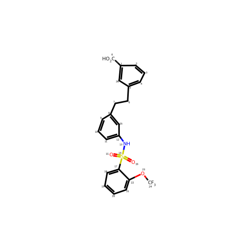 O=C(O)c1cccc(CCc2cccc(NS(=O)(=O)c3ccccc3OC(F)(F)F)c2)c1